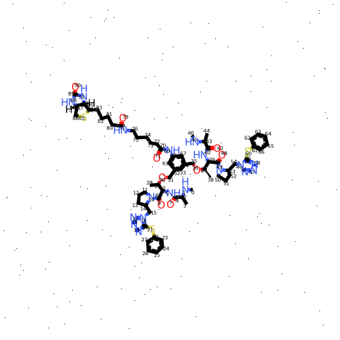 CNC(C)C(=O)NC(C(=O)N1CCCC1Cn1nnnc1Sc1ccccc1)C(C)OCc1cc(CO[C@H](C)C(NC(=O)C(C)NC)C(=O)N2CCCC2Cn2nnnc2Sc2ccccc2)cc(NC(=O)CCCCCNC(=O)CCCCC2SC[C@@H]3NC(=O)N[C@H]23)c1